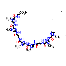 Cn1cc(NC(=O)c2nccn2C)nc1C(=O)NCCC(=O)Nc1cn(C)c(C(=O)Nc2cn(C)c(C(=O)NCCC(=O)Nc3cn(C)c(C(=O)Nc4cn(C)c(C(=O)NCCC(=O)O)n4)n3)n2)n1